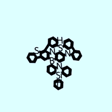 c1ccc([SiH]2c3ccccc3N3c4cc5c6c7c4B(c4cccc2c43)c2cc3c4ccccc4sc3c3c4cccc(c4n-7c23)[SH]6c2cccc3c4ccccc4n-5c23)cc1